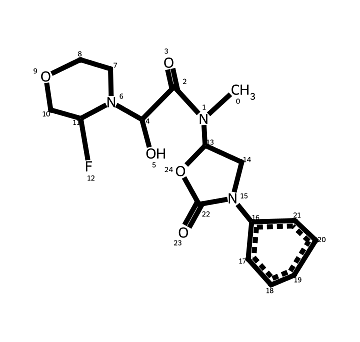 CN(C(=O)C(O)N1CCOCC1F)C1CN(c2ccccc2)C(=O)O1